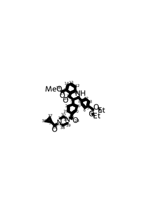 CCOC(OCC)c1ccc(C2Nc3cccc(C(=O)OC)c3C(=O)C2c2ccc(C(=O)N3CCN(C(=O)C4CC4)CC3)cc2)cc1